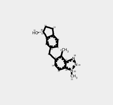 Cc1c(Cc2ccc3c(c2)[C@H](O)CC3)ccc2c1nnn2C